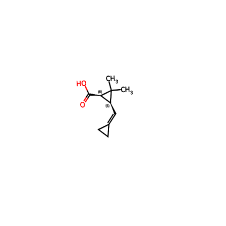 CC1(C)[C@H](C(=O)O)[C@@H]1C=C1CC1